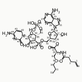 C=CCCC(=O)N[C@@H](COCCC)C(=O)O[C@H]1[C@@H](O)[C@H](n2cnc3c(N)ncnc32)O[C@@H]1COP(=O)(O)[C@H]1[C@@H](O)[C@H](n2ccc(N)nc2=O)O[C@@H]1COP(=O)(O)O